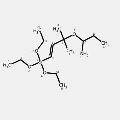 CCO[Si](C=CC(C)(C)OC(N)CC)(OCC)OCC